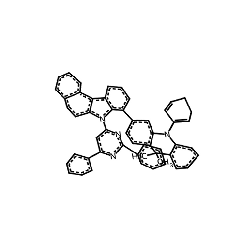 CC1(C)c2ccccc2N(C2=CCCC=C2)c2cc(-c3cccc4c5c6ccccc6ccc5n(-c5cc(-c6ccccc6)nc(-c6ccccc6)n5)c34)ccc21